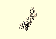 COC(=O)/C(=C/c1ccc(Sc2ccc3ccccc3c2)cc1Br)N=[N+]=[N-]